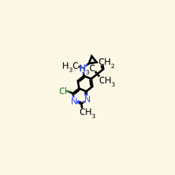 C=CC(C)(C)c1cc2nc(C)nc(Cl)c2cc1N(C)C1CC1